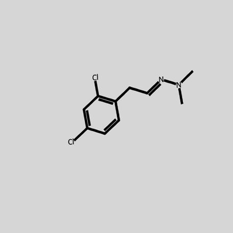 CN(C)N=CCc1ccc(Cl)cc1Cl